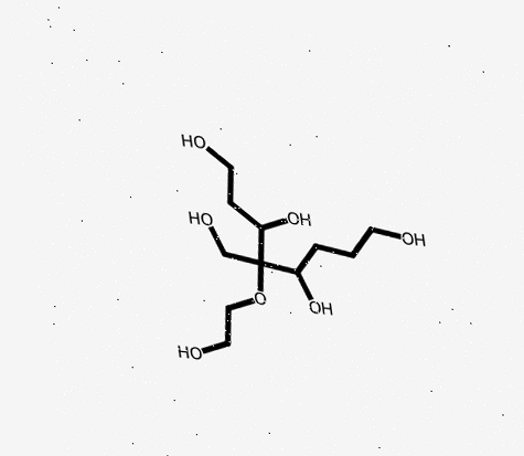 OCCCC(O)C(CO)(OCCO)C(O)CCO